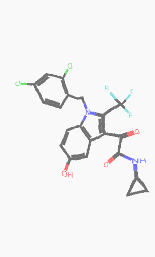 O=C(NC1CC1)C(=O)c1c(C(F)(F)F)n(Cc2ccc(Cl)cc2Cl)c2ccc(O)cc12